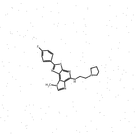 Cn1cnc2c(NCCN3CCCC3)nc3sc(-c4ccc(F)cc4)nc3c21